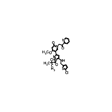 COc1cc(=O)n(CC(=O)c2ccccn2)cc1-c1cc(NCc2ccc(Cl)s2)n(C(=O)C(C)(C)C)n1